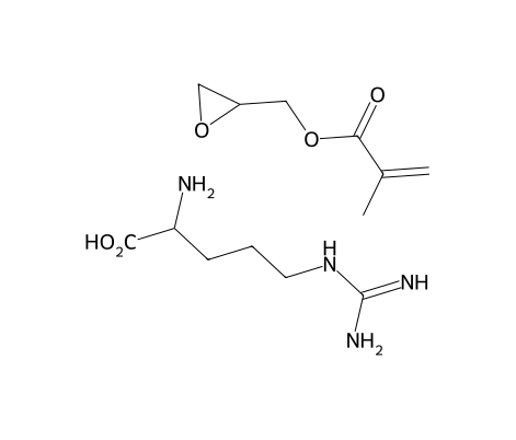 C=C(C)C(=O)OCC1CO1.N=C(N)NCCCC(N)C(=O)O